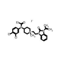 C=C(C)n1c(=O)n(CC[N+]2(C)CCC(N(C(=O)CC)c3ccc(Cl)c(Cl)c3)CC2)c2ccccc21.[I-]